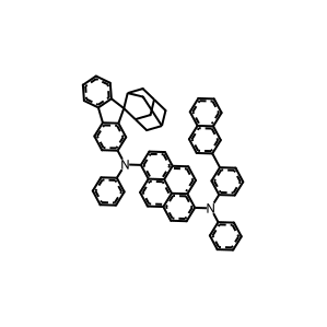 c1ccc(N(c2cccc(-c3ccc4ccccc4c3)c2)c2ccc3ccc4c(N(c5ccccc5)c5ccc6c(c5)C5(c7ccccc7-6)C6CC7CC(C6)CC5C7)ccc5ccc2c3c54)cc1